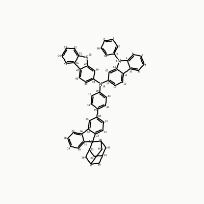 c1ccc(-n2c3ccccc3c3ccc(N(c4ccc(-c5ccc6c(c5)-c5ccccc5C65C6CC7CC(C6)CC5C7)cc4)c4ccc5c(c4)sc4ccccc45)cc32)cc1